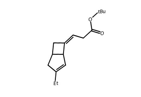 CCC1=CC2C(=CCC(=O)OC(C)(C)C)CC2C1